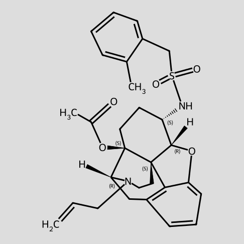 C=CCN1CC[C@]23c4c5cccc4O[C@H]2[C@@H](NS(=O)(=O)Cc2ccccc2C)CC[C@@]3(OC(C)=O)[C@H]1C5